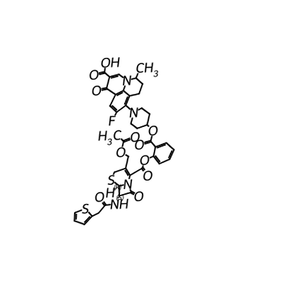 CC(=O)OCC1=C(C(=O)Oc2ccccc2C(=O)OC2CCN(c3c(F)cc4c(=O)c(C(=O)O)cn5c4c3CCC5C)CC2)N2C(=O)[C@H](NC(=O)Cc3cccs3)[C@H]2SC1